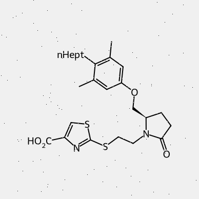 CCCCCCCc1c(C)cc(OC[C@H]2CCC(=O)N2CCSc2nc(C(=O)O)cs2)cc1C